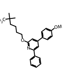 COc1ccc(-c2cc(OCCCCC(C)(C)C(=O)O)nc(-c3ccccc3)c2)cc1